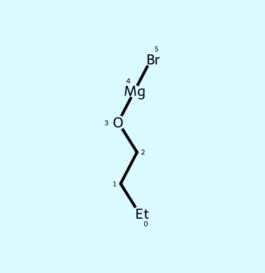 CCCC[O][Mg][Br]